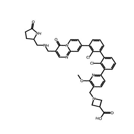 COc1nc(-c2cccc(-c3cccc(-c4ccn5c(=O)c(CNCC6CCC(=O)N6)cnc5c4)c3Cl)c2Cl)ccc1CN1CC(C(=O)O)C1